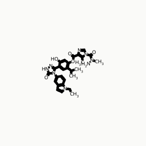 CCn1ccc2cc(-n3c(-c4cc(C(C)C)c(OC(=O)c5ncn(C(=O)N(C)N)c5C)cc4O)n[nH]c3=O)ccc21